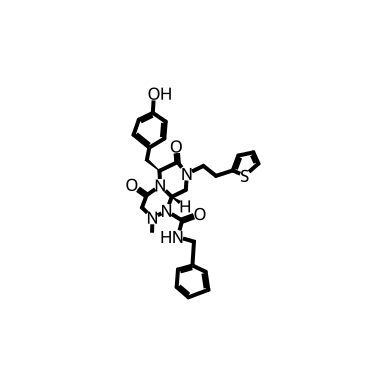 CN1CC(=O)N2[C@@H](Cc3ccc(O)cc3)C(=O)N(CCc3cccs3)C[C@@H]2N1C(=O)NCc1ccccc1